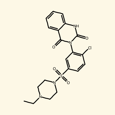 CCN1CCN(S(=O)(=O)c2ccc(Cl)c(-n3c(=O)[nH]c4ccccc4c3=O)c2)CC1